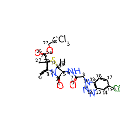 C=C1N2C(=O)C(NC(=O)Cn3nnc4cc(Cl)ccc43)[C@H]2SC1(C)C(=O)OCC(Cl)(Cl)Cl